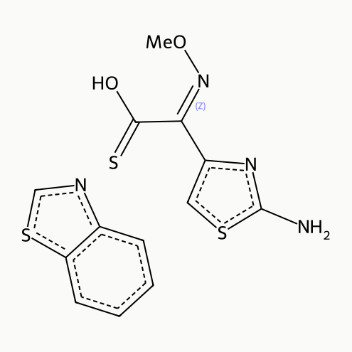 CO/N=C(\C(O)=S)c1csc(N)n1.c1ccc2scnc2c1